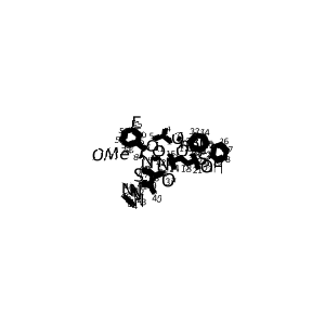 CCCCOCC(C)CO[C@@H](Cn1c(=O)n(C(C)(C)C(=O)CC(C)(C)[Si](O)(c2ccccc2)c2ccccc2)c(=O)c2c(C)c(-n3nccn3)sc21)c1cc(F)ccc1OC